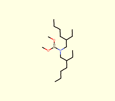 CCCCC(CC)CN(CC(CC)CCCC)[SiH](OC)OC